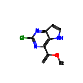 C=C(OCC)c1nc(Cl)nc2cc[nH]c12